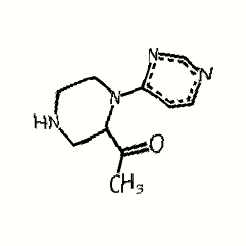 CC(=O)C1CNCCN1c1ccncn1